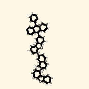 c1ccc(-c2c3ccccc3c(-c3ccc4oc5c(-c6ccc7ccc8c(sc9ccc%10sc%11ccccc%11c%10c98)c7c6)cccc5c4c3)c3ccccc23)cc1